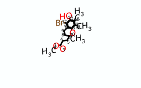 COC(=O)CCC1(C)CCc2c(Br)c(O)c(C)c(C)c2O1